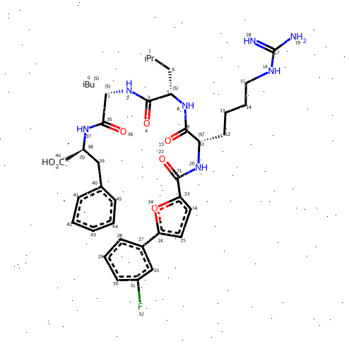 CC[C@H](C)[C@H](NC(=O)[C@H](CC(C)C)NC(=O)[C@H](CCCCNC(=N)N)NC(=O)c1ccc(-c2cccc(F)c2)o1)C(=O)N[C@@H](Cc1ccccc1)C(=O)O